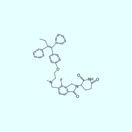 CCC(=C(c1ccccc1)c1ccc(OCCN(C)Cc2ccc3c(c2F)CN(C2CCC(=O)NC2=O)C3=O)cc1)c1ccccc1